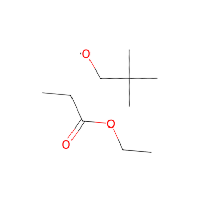 CC(C)(C)C[O].CCOC(=O)CC